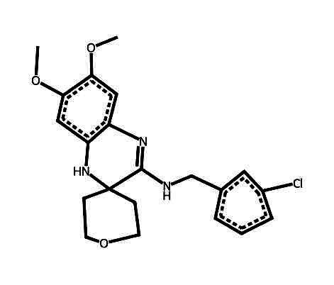 COc1cc2c(cc1OC)NC1(CCOCC1)C(NCc1cccc(Cl)c1)=N2